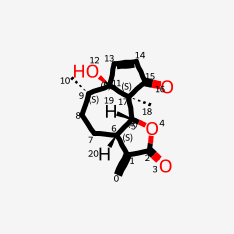 C=C1C(=O)O[C@@H]2[C@H]1CC[C@H](C)[C@]1(O)C=CC(=O)[C@@]21C